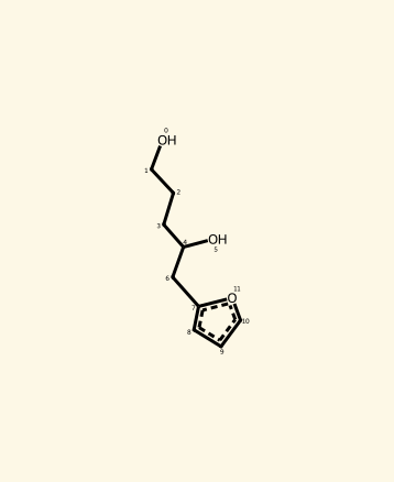 OCCCC(O)Cc1ccco1